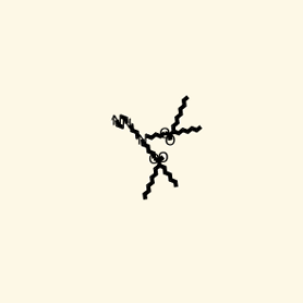 CCCCCCCCC(CCCCCC)C(=O)OCCCCN(CCCCOC(=O)C(CCCCCC)CCCCCCCC)CCCCN1CCN(C)CC1